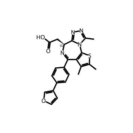 Cc1sc2c(c1C)C(c1ccc(-c3ccoc3)cc1)=N[C@@H](CC(=O)O)c1nnc(C)n1-2